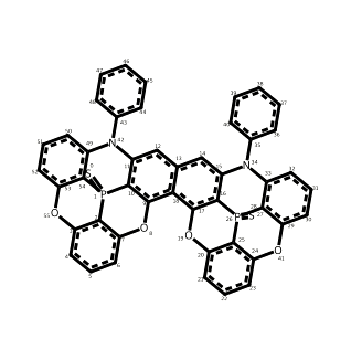 S=P12c3c4cccc3Oc3c1c(cc1cc5c6c(c31)Oc1cccc3c1P6(=S)c1c(cccc1N5c1ccccc1)O3)N(c1ccccc1)c1cccc(c12)O4